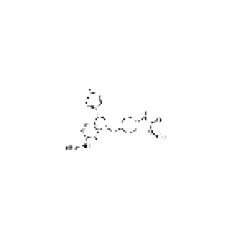 CCCCNc1ncc2c(-c3ccc(F)cc3)cn(CC3CCC(NC(=O)OC(C)(C)C)CC3)c2n1